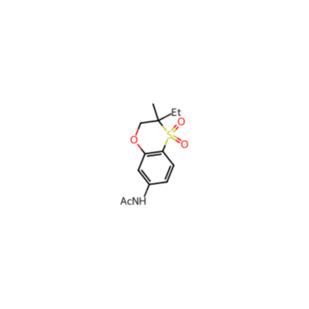 CCC1(C)COc2cc(NC(C)=O)ccc2S1(=O)=O